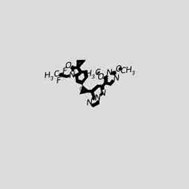 COc1ncc(-c2cc(C3C[C@@H]3c3ccc4c(c3)N(CC(C)(F)F)C(=O)C43CC3)c3nccn3n2)c(OC)n1